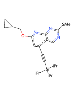 CSc1ncc2c(C#C[Si](C(C)C)(C(C)C)C(C)C)cc(OCC3CC3)nc2n1